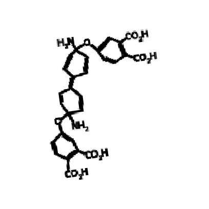 NC1(Oc2ccc(C(=O)O)c(C(=O)O)c2)C=CC(=C2C=CC(N)(Oc3ccc(C(=O)O)c(C(=O)O)c3)C=C2)C=C1